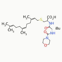 CC[C@H](C)[C@H](NC(=O)N1CCOCC1)C(=O)N[C@@H](CSCC=C(C)CCC=C(C)CCC=C(C)C)C(=O)O